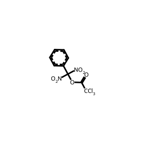 O=C(OC(c1ccccc1)([N+](=O)[O-])[N+](=O)[O-])C(Cl)(Cl)Cl